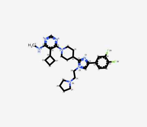 CNc1ncnc(N2CCC(c3nc(-c4ccc(F)c(F)c4)cn3CCN3CCCC3)CC2)c1C1CCC1